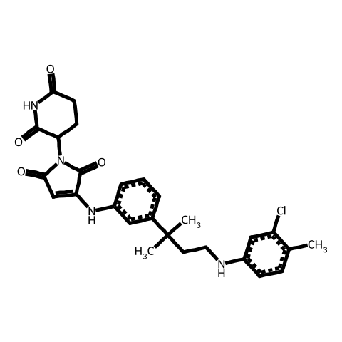 Cc1ccc(NCCC(C)(C)c2cccc(NC3=CC(=O)N(C4CCC(=O)NC4=O)C3=O)c2)cc1Cl